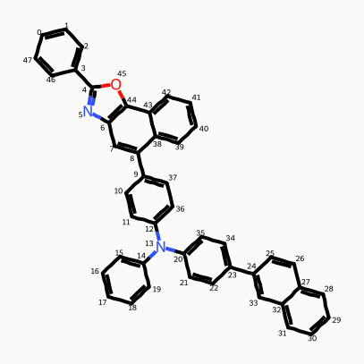 c1ccc(-c2nc3cc(-c4ccc(N(c5ccccc5)c5ccc(-c6ccc7ccccc7c6)cc5)cc4)c4ccccc4c3o2)cc1